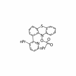 CCCc1cccnc1-c1cccc2c1N(OS(=O)(=O)CCC)c1ccccc1S2